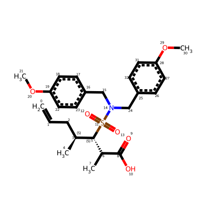 C=CC[C@H](C)[C@@H](C(C)C(=O)O)S(=O)(=O)N(Cc1ccc(OC)cc1)Cc1ccc(OC)cc1